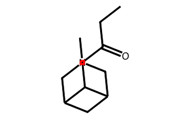 CCC(=O)CC1C2CC1CN(C)C2